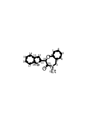 CCN1Cc2ccccc2OC(c2cc3ccccc3s2)C1=O